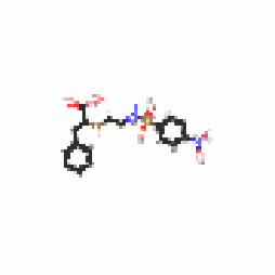 O=C(O)C(Cc1ccccc1)SCCNS(=O)(=O)c1ccc([N+](=O)[O-])cc1